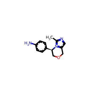 Cc1ncc2n1[C@H](c1ccc(N)cc1)COC2